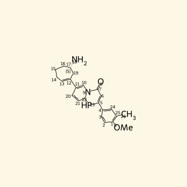 COc1ccc(C2=CC(=O)N3C=C(C4=CCCC[C@H](N)C4)C=CC3P2)cc1C